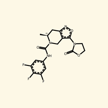 C[C@H]1Cc2noc(N3CCOC3=O)c2CN1C(=O)Nc1cc(F)c(F)c(F)c1